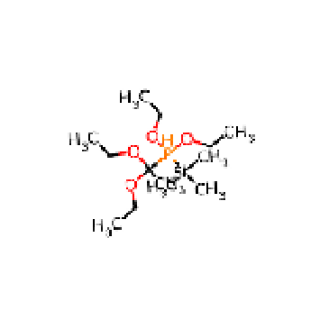 CCOC(C)(OCC)[PH](OCC)(OCC)[Si](C)(C)C